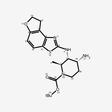 C[C@H]1[C@H](Nc2nc3c4c(ccc3s2)OCC4)[C@H](N)CCN1C(=O)OC(C)(C)C